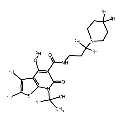 [2H]Oc1c(C(=O)NCCC([2H])([2H])N2CCC([2H])([2H])CC2)c(=O)n(C([2H])(C)C)c2sc([2H])c([2H])c12